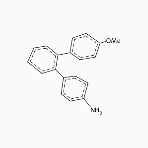 COc1ccc(-c2ccccc2-c2ccc(N)cc2)cc1